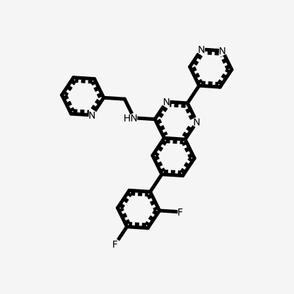 Fc1ccc(-c2ccc3nc(-c4ccnnc4)nc(NCc4ccccn4)c3c2)c(F)c1